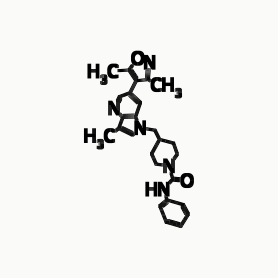 Cc1noc(C)c1-c1cnc2c(C)cn(CC3CCN(C(=O)Nc4ccccc4)CC3)c2c1